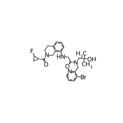 CC(C)(O)CN(Cc1ncccc1Br)C(=O)CNc1cccc2c1CN(C(=O)[C@H]1C[C@H]1F)CC2